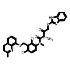 Cc1ccc2cccc(OCc3c(Cl)ccc(N(C)C(=O)[C@@H](N)C(=O)CSc4nc5ccccc5[nH]4)c3Cl)c2n1